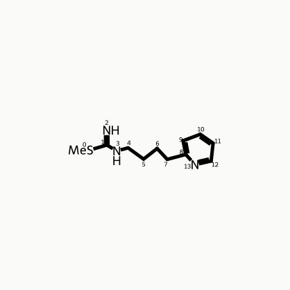 CSC(=N)NCCCCc1ccccn1